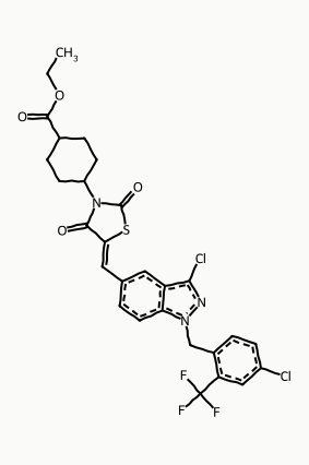 CCOC(=O)C1CCC(N2C(=O)SC(=Cc3ccc4c(c3)c(Cl)nn4Cc3ccc(Cl)cc3C(F)(F)F)C2=O)CC1